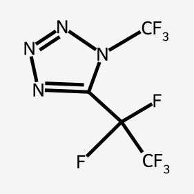 FC(F)(F)n1nnnc1C(F)(F)C(F)(F)F